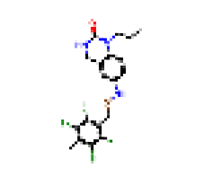 CCCN1C(=O)NCc2cc(NSCc3c(F)c(F)c(C)c(F)c3F)ccc21